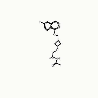 CC(=O)N[C@@H](C)CO[C@H]1C[C@H](COc2nccc3cc(F)ccc23)C1